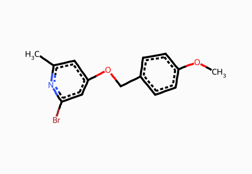 COc1ccc(COc2cc(C)nc(Br)c2)cc1